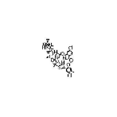 C=C[C@@H]1C[C@]1(NC(=O)[C@@H]1C[C@@H](Oc2ncc(OC)c3ccc(Cl)cc23)CN1C(=O)[C@@H](Nc1nc(-c2cc(Cl)c(C)cc2OC)cs1)C(C)(C)C)C(=O)NS(=O)(=O)C1CC1